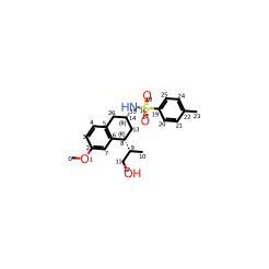 COc1ccc2c(c1)[C@@H](C(C)CO)C[C@@H](NS(=O)(=O)c1ccc(C)cc1)C2